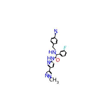 Cn1cc(-c2ccc(NC(=O)C(NCCc3ccc(C#N)cc3)c3cccc(F)c3)nc2)cn1